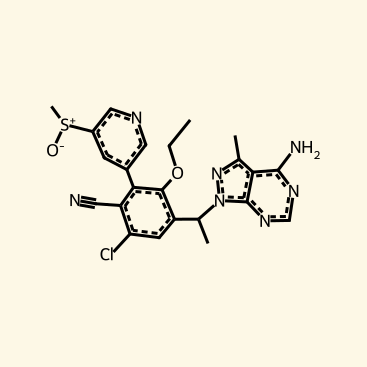 CCOc1c(C(C)n2nc(C)c3c(N)ncnc32)cc(Cl)c(C#N)c1-c1cncc([S+](C)[O-])c1